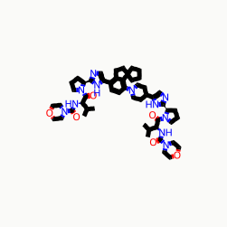 CC(C)[C@H](NC(=O)N1CCOCC1)C(=O)N1CCC[C@H]1c1ncc(-c2ccc(N3CCC(c4cnc([C@@H]5CCCN5C(=O)[C@@H](NC(=O)N5CCOCC5)C(C)C)[nH]4)CC3)c3c2CCC32CCCC2)[nH]1